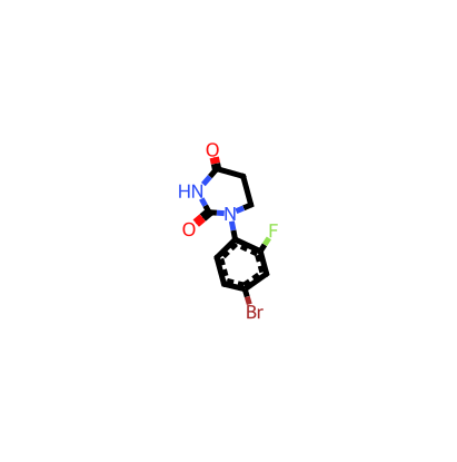 O=C1CCN(c2ccc(Br)cc2F)C(=O)N1